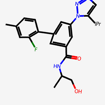 Cc1ccc(-c2cc(C(=O)NC(C)CO)cc(-n3nncc3C(C)C)c2)c(F)c1